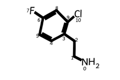 NCCc1ccc(F)cc1Cl